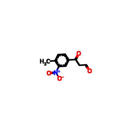 Cc1ccc(C(=O)CC=O)cc1[N+](=O)[O-]